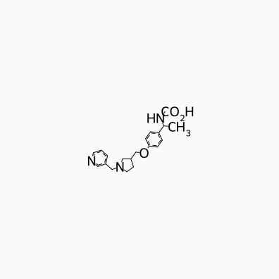 CC(NC(=O)O)c1ccc(OCC2CCN(Cc3cccnc3)C2)cc1